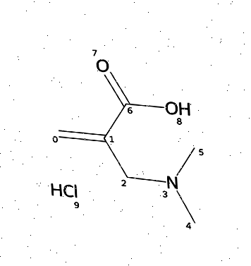 C=C(CN(C)C)C(=O)O.Cl